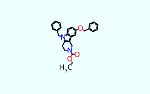 CCOC(=O)N1CCc2c(c3cc(OCc4ccccc4)ccc3n2Cc2ccccc2)C1